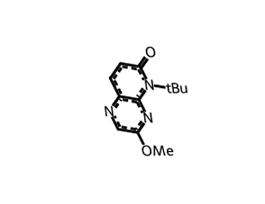 COc1cnc2ccc(=O)n(C(C)(C)C)c2n1